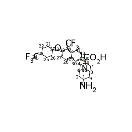 NC1CC2CC(C(=O)O)CC(C1)N2Cc1ccc2c(C(F)(F)F)c(OC3CCC(C(F)(F)F)CC3)ccc2c1